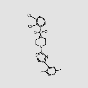 Cc1ccc(C)c(-c2csc(N3CCN(S(=O)(=O)c4cccc(Cl)c4Cl)CC3)n2)c1